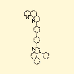 c1ccc(-c2cc(-c3ccc(-c4ccc(-c5ccc6ccc7cccnc7c6n5)cc4)cc3)nc3ccc4ccccc4c23)cc1